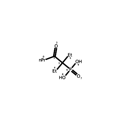 CCCC(=O)C(CC)(CC)P(=O)(O)O